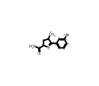 CC1CC(C(N)=S)N=C1c1cccc(Br)c1